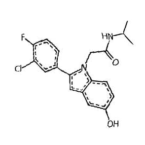 CC(C)NC(=O)Cn1c(-c2ccc(F)c(Cl)c2)cc2cc(O)ccc21